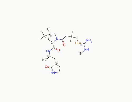 CCN/C(N)=[SH]/CC(C)(C)CC(=O)N1C[C@H]2C([C@H]1C(=O)N[C@H](C#N)C[C@@H]1CCNC1=O)C2(C)C